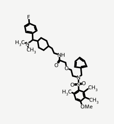 COc1cc(C)c(S(=O)(=O)N(CCOCC(=O)NCCC2CCC(C(c3ccc(F)cc3)N(C)C)CC2)Cc2ccccc2)c(C)c1C